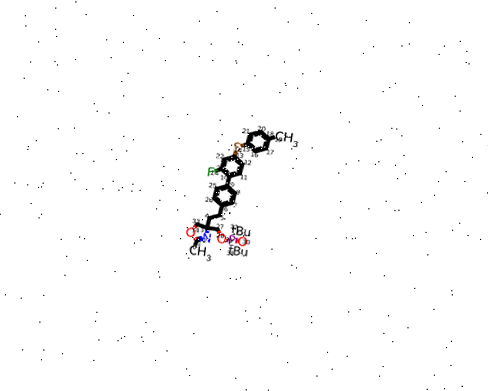 CC1=NC(CCc2ccc(-c3ccc(Sc4ccc(C)cc4)cc3F)cc2)(COP(=O)(C(C)(C)C)C(C)(C)C)CO1